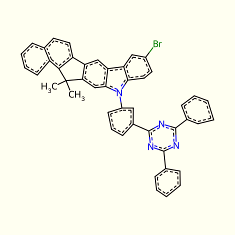 CC1(C)c2cc3c(cc2-c2ccc4ccccc4c21)c1cc(Br)ccc1n3-c1cccc(-c2nc(-c3ccccc3)nc(-c3ccccc3)n2)c1